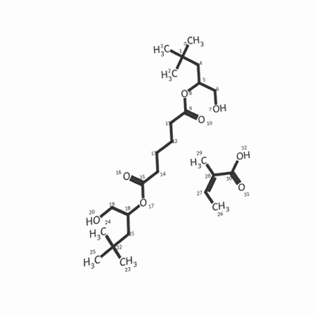 CC(C)(C)CC(CO)OC(=O)CCCCC(=O)OC(CO)CC(C)(C)C.CC=C(C)C(=O)O